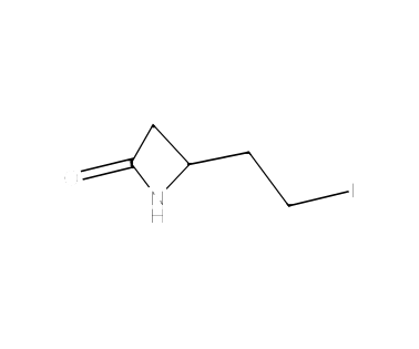 O=C1CC(CCI)N1